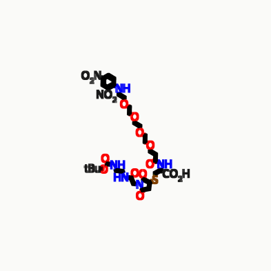 CC(C)(C)OC(=O)NCCNC(=O)CN1C(=O)CC(SCC(NC(=O)CCOCCOCCOCCOCCNc2ccc([N+](=O)[O-])cc2[N+](=O)[O-])C(=O)O)C1=O